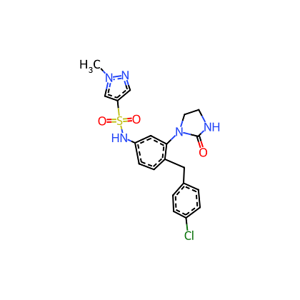 Cn1cc(S(=O)(=O)Nc2ccc(Cc3ccc(Cl)cc3)c(N3CCNC3=O)c2)cn1